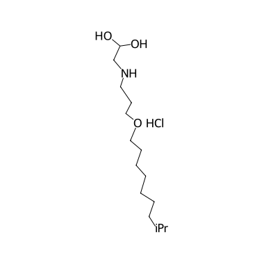 CC(C)CCCCCCCOCCCNCC(O)O.Cl